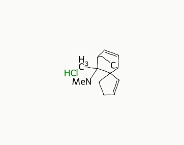 CNC1(C)C2C=CC(CC2)C12C=CCC2.Cl